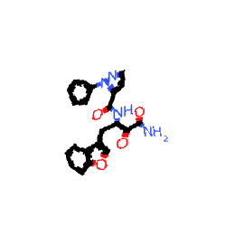 NC(=O)C(=O)C(Cc1coc2ccccc12)NC(=O)c1ccnn1-c1ccccc1